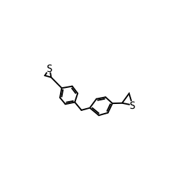 c1cc(C2CS2)ccc1Cc1ccc(C2CS2)cc1